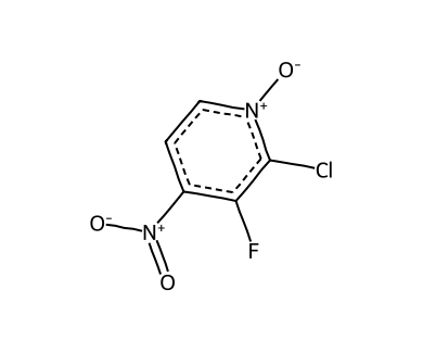 O=[N+]([O-])c1cc[n+]([O-])c(Cl)c1F